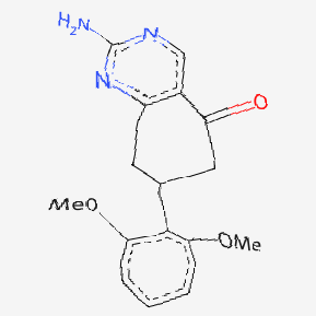 COc1cccc(OC)c1C1CC(=O)c2cnc(N)nc2C1